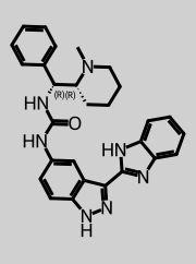 CN1CCCC[C@@H]1[C@H](NC(=O)Nc1ccc2[nH]nc(-c3nc4ccccc4[nH]3)c2c1)c1ccccc1